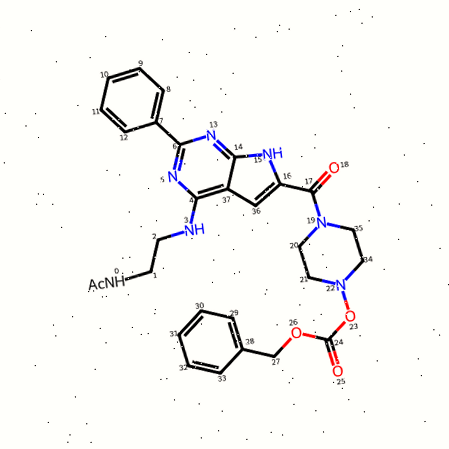 CC(=O)NCCNc1nc(-c2ccccc2)nc2[nH]c(C(=O)N3CCN(OC(=O)OCc4ccccc4)CC3)cc12